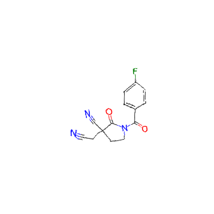 N#CCC1(C#N)CCN(C(=O)c2ccc(F)cc2)C1=O